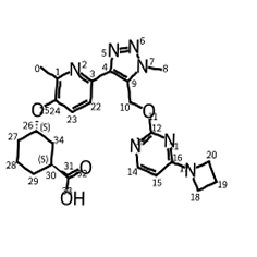 Cc1nc(-c2nnn(C)c2COc2nccc(N3CCC3)n2)ccc1O[C@H]1CCC[C@H](C(=O)O)C1